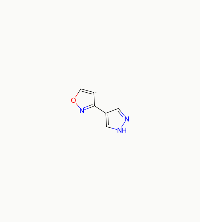 [c]1conc1-c1cn[nH]c1